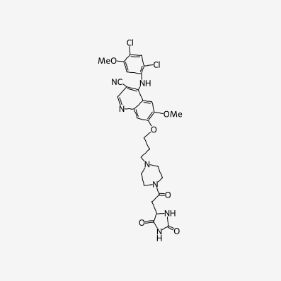 COc1cc(Nc2c(C#N)cnc3cc(OCCCN4CCN(C(=O)CC5NC(=O)NC5=O)CC4)c(OC)cc23)c(Cl)cc1Cl